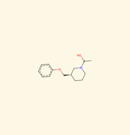 CB(O)N1CCC[C@@H](COc2ccccc2)C1